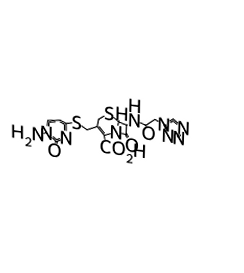 Nn1ccc(SCC2=C(C(=O)O)N3C(=O)[C@@H](NC(=O)Cn4cnnn4)[C@@H]3SC2)nc1=O